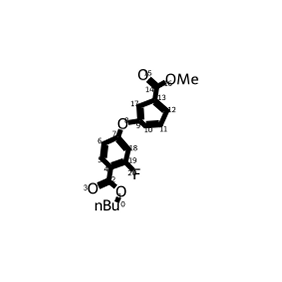 CCCCOC(=O)c1ccc(Oc2cccc(C(=O)OC)c2)cc1F